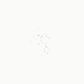 CC(C)(C)OC(=O)N1CC=CC1C(=O)Nc1c(C(N)=O)oc2ccc(Br)cc12